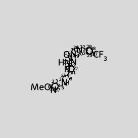 COc1ccc(CN2CCC(c3ccc4nc(C(=O)N5CCN(Cc6ccc(C(F)(F)F)cc6)CC5)[nH]c4n3)CC2)cn1